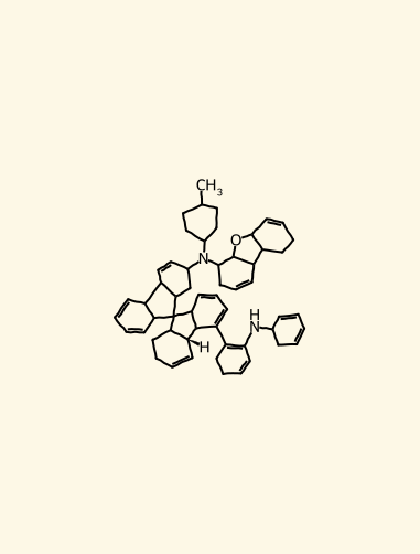 CC1CCC(N(C2C=CC3C4C=CC=CC4C4(C5C=CC=C(C6=C(NC7C=CC=CC7)C=CCC6)C5[C@@H]5C=CCCC54)C3C2)C2CC=CC3C4CCC=CC4OC32)CC1